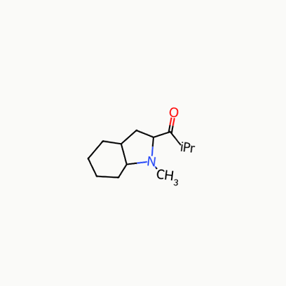 CC(C)C(=O)C1CC2CCCCC2N1C